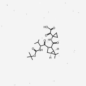 CC(C)[C@H](NC(=O)OC(C)(C)C)C(=O)N1C[C@H]2[C@@H](C1C(=O)NC1(C(=O)C(=O)O)CC1)C2(C)C